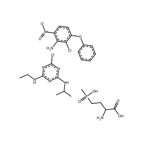 CCNc1nc(Cl)nc(NC(C)C)n1.CP(=O)(O)CCC(N)C(=O)O.Nc1c([N+](=O)[O-])ccc(Oc2ccccc2)c1Cl